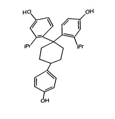 CC(C)c1cc(O)ccc1C1(c2ccc(O)cc2C(C)C)CCC(c2ccc(O)cc2)CC1